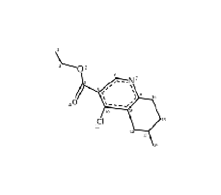 CCOC(=O)c1cnc2c(c1Cl)CC(C)CC2